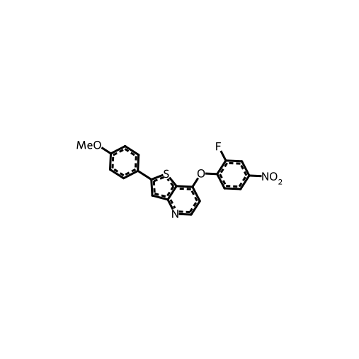 COc1ccc(-c2cc3nccc(Oc4ccc([N+](=O)[O-])cc4F)c3s2)cc1